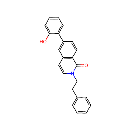 O=c1c2ccc(-c3ccccc3O)cc2ccn1CCc1ccccc1